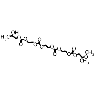 COC(C)COC(=O)OCCOC(=O)OCCOC(=O)OCCOC(=O)OCC(C)O